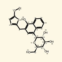 CCOc1cnc(Cc2cc([C@@H]3O[C@H](CO)[C@@H](O)[C@H](O)[C@H]3O)c3ccccc3c2O)s1